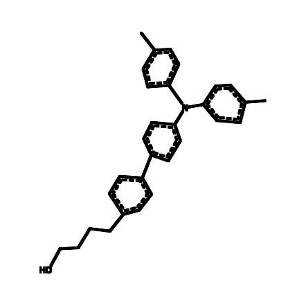 Cc1ccc(N(c2ccc(C)cc2)c2ccc(-c3ccc(CCCCO)cc3)cc2)cc1